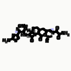 CO/N=C(\C(=O)N[C@@H]1C(=O)N2C(C(=O)OP(C)#N)=C(CS/C=N/C(=O)C(N)=O)CS[C@H]12)c1csc(N)n1